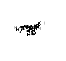 CCc1ccc(NC(=O)CC(CC(=O)O)c2noc(C3CC(CC(CC)CC)C3)c2C2CC2)c(Cl)c1